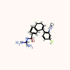 [C-]#[N+]c1cc(F)ccc1C1=CCCc2ccc(C(=O)N=C(N)N)cc21